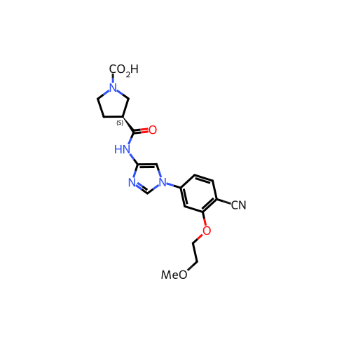 COCCOc1cc(-n2cnc(NC(=O)[C@H]3CCN(C(=O)O)C3)c2)ccc1C#N